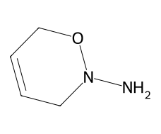 NN1CC=CCO1